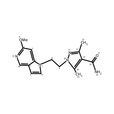 COc1cc2c(ccn2CCn2nc(C)c(C(N)=O)c2C)cn1